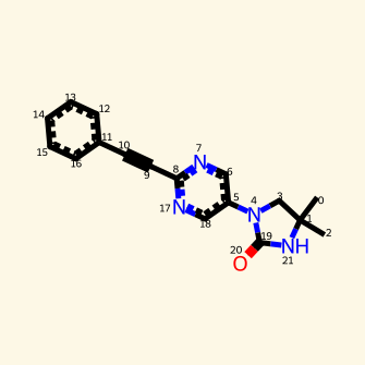 CC1(C)CN(c2cnc(C#Cc3ccccc3)nc2)C(=O)N1